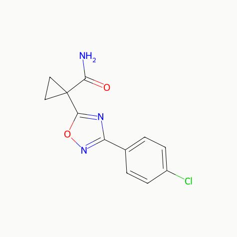 NC(=O)C1(c2nc(-c3ccc(Cl)cc3)no2)CC1